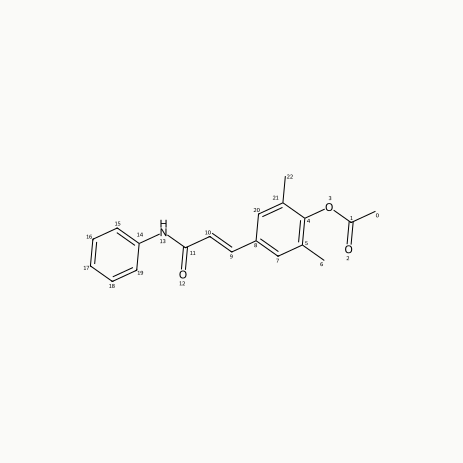 CC(=O)Oc1c(C)cc(/C=C/C(=O)Nc2ccccc2)cc1C